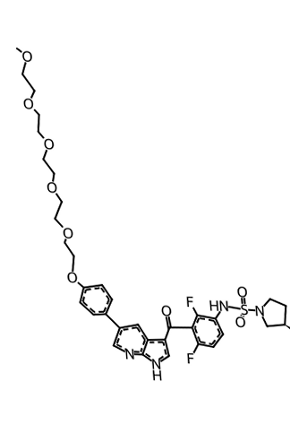 COCCOCCOCCOCCOCCOc1ccc(-c2cnc3[nH]cc(C(=O)c4c(F)ccc(NS(=O)(=O)N5CC[C@@H](F)C5)c4F)c3c2)cc1